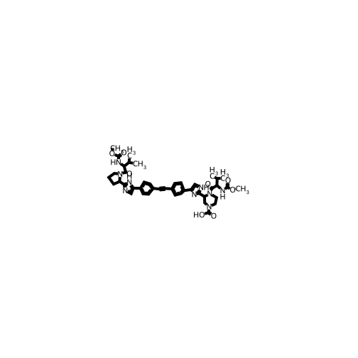 COC(=O)NC(C(=O)N1CCN(C(=O)O)CC1c1nc(-c2ccc(C#Cc3ccc(-c4cnc(C5CCCN5C(=O)C(NC(=O)OC)C(C)C)[nH]4)cc3)cc2)c[nH]1)C(C)C